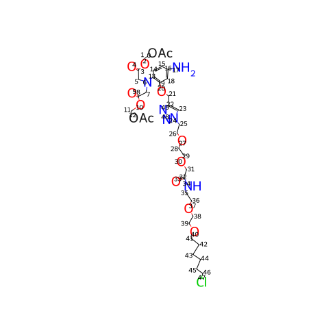 CC(=O)OCOC(=O)CN(CC(=O)OCOC(C)=O)c1ccc(N)cc1OCc1cn(CCOCCOCC(=O)NCCOCCOCCCCCCCl)nn1